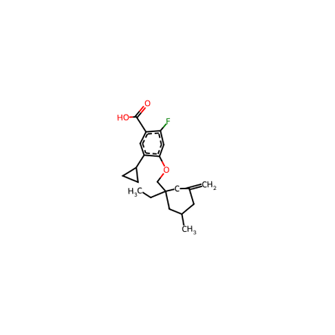 C=C1CC(C)CC(CC)(COc2cc(F)c(C(=O)O)cc2C2CC2)C1